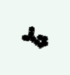 c1ccc(-c2ccc(N(c3ccc(-c4ccc(-c5cccc(-c6cccc7c6sc6c(-c8ccccc8)cccc67)c5)cc4)cc3)c3ccc4ccccc4c3)cc2)cc1